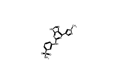 Cn1cc(-c2nc(Nc3cccc(S(N)(=O)=O)c3)nc3[nH]cnc23)cn1